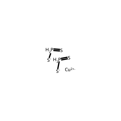 S=[PH2][S-].S=[PH2][S-].[Cu+2]